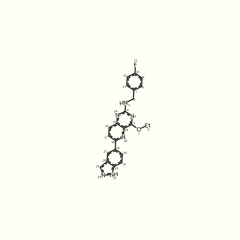 CCOc1nc(NCc2ccc(F)cc2)nc2ccc(-c3ccc4[nH]ncc4c3)nc12